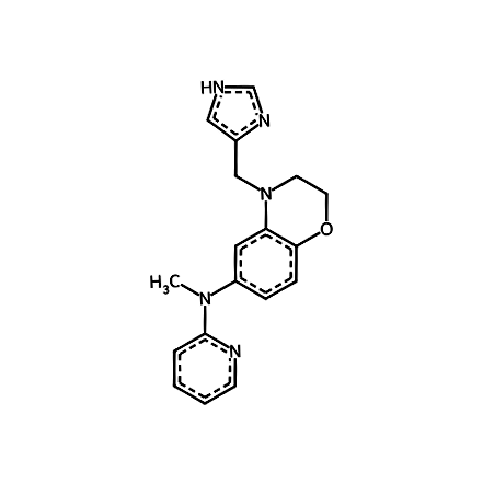 CN(c1ccc2c(c1)N(Cc1c[nH]cn1)CCO2)c1ccccn1